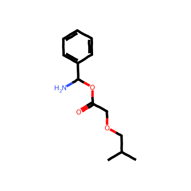 CC(C)COCC(=O)OC(N)c1ccccc1